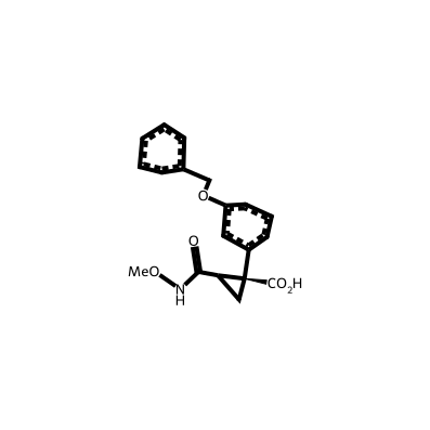 CONC(=O)C1C[C@@]1(C(=O)O)c1cccc(OCc2ccccc2)c1